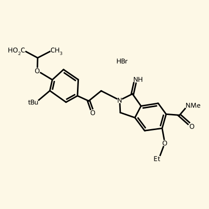 Br.CCOc1cc2c(cc1C(=O)NC)C(=N)N(CC(=O)c1ccc(OC(C)C(=O)O)c(C(C)(C)C)c1)C2